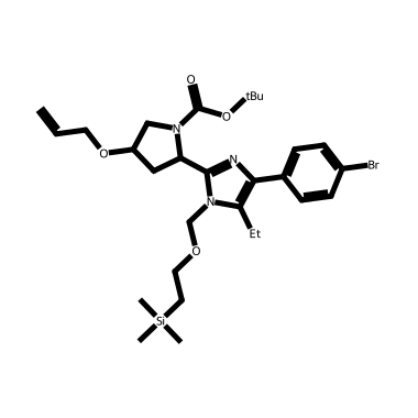 C=CCOC1CC(c2nc(-c3ccc(Br)cc3)c(CC)n2COCC[Si](C)(C)C)N(C(=O)OC(C)(C)C)C1